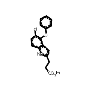 O=C(O)CCc1cc2c(Oc3ccccc3)c(Cl)ccc2[nH]1